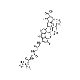 CN1C[C@H]2CCN(c3c(-c4cnc5c(c4)c(=O)c(C(=O)O)cn5C)cnc4[nH]c5c(NCC(=O)CNC(=O)CNC(=O)OC(C)(C)C)cc(F)c(F)c5c34)[C@H]2C1